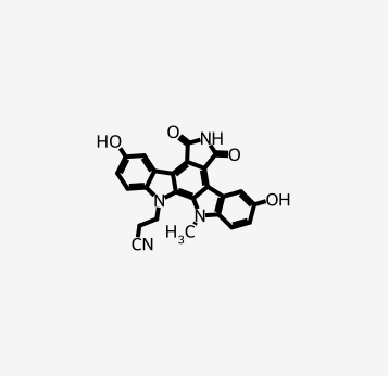 Cn1c2ccc(O)cc2c2c3c(c4c5cc(O)ccc5n(CCC#N)c4c21)C(=O)NC3=O